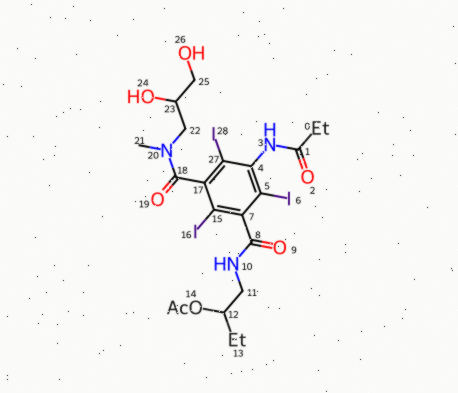 CCC(=O)Nc1c(I)c(C(=O)NCC(CC)OC(C)=O)c(I)c(C(=O)N(C)CC(O)CO)c1I